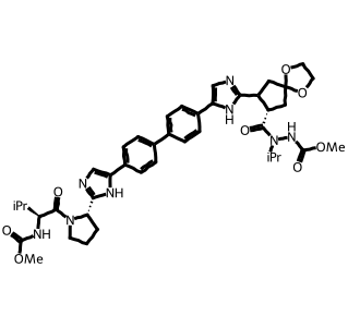 COC(=O)N[C@H](C(=O)N1CCC[C@H]1c1ncc(-c2ccc(-c3ccc(-c4cnc(C5CC6(C[C@@H]5C(=O)N(NC(=O)OC)C(C)C)OCCO6)[nH]4)cc3)cc2)[nH]1)C(C)C